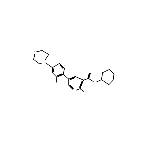 Nc1ncc(-c2ccc(N3CCNCC3)cc2F)cc1C(=O)NC1CCCCC1